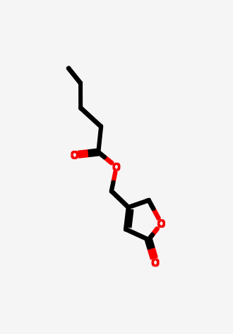 CCCCC(=O)OCC1=CC(=O)OC1